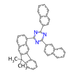 CC1(C)c2ccccc2-c2cc3c(-c4nc(-c5ccc6ccccc6c5)nc(-c5ccc6ccccc6c5)n4)cccc3cc21